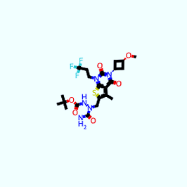 CO[C@H]1C[C@H](n2c(=O)c3c(C)c(CN(NC(=O)OC(C)(C)C)C(N)=O)sc3n(CCC(F)(F)F)c2=O)C1